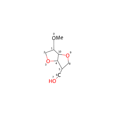 COC1COC2C(CO)COC12